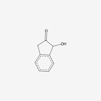 O=C1Cc2ccccc2C1O